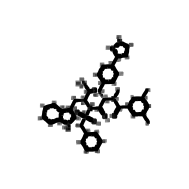 Cc1cc(C)cc(C(=O)N(C)[C@@H](Cc2ccc(-c3ccno3)cc2)C(=O)N([C@@H](Cc2c[nH]c3ccccc23)C(N)=O)S(=O)(=O)Cc2ccccc2)c1